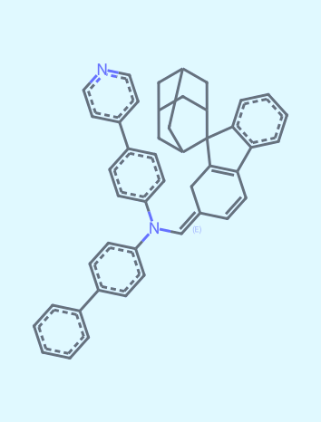 C1=C/C(=C/N(c2ccc(-c3ccccc3)cc2)c2ccc(-c3ccncc3)cc2)CC2=C1c1ccccc1C21C2CC3CC(C2)CC1C3